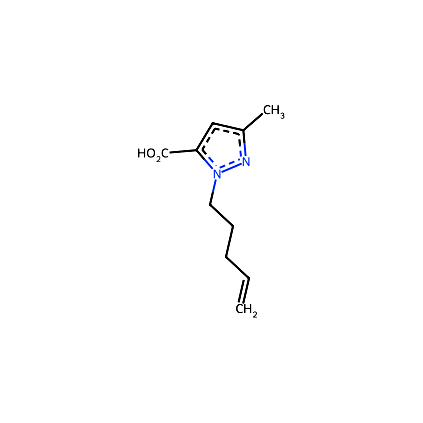 C=CCCCn1nc(C)cc1C(=O)O